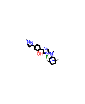 CN(c1cnc(-c2ccc(-c3ccn(C)n3)cc2O)cn1)[C@H]1C[C@]2(C)CC[C@@](C)(N2)[C@H]1F